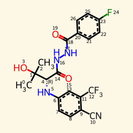 CC(C)(O)[C@@H](Nc1ccc(C#N)c(C(F)(F)F)c1)C(=O)NNC(=O)c1ccc(F)cc1